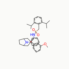 COc1cccc(C2(CNS(=O)(=O)Cc3c(C(C)C)cccc3C(C)C)CC3CCC(C2)N3c2ccccc2)c1